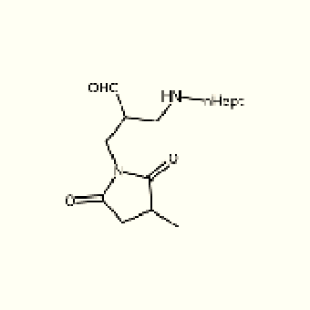 CCCCCCCNCC(C=O)CN1C(=O)CC(C)C1=O